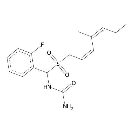 CC/C=C(C)\C=C/CS(=O)(=O)C(NC(N)=O)c1ccccc1F